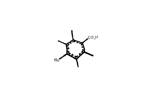 Cc1c(C)c(C(C)(C)C)c(C)c(C)c1C(=O)O